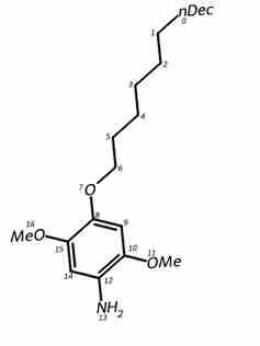 CCCCCCCCCCCCCCCCOc1cc(OC)c(N)cc1OC